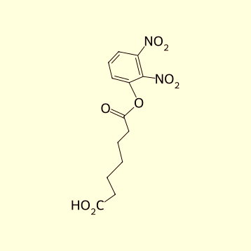 O=C(O)CCCCCC(=O)Oc1cccc([N+](=O)[O-])c1[N+](=O)[O-]